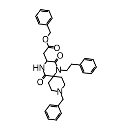 O=C(CC1NC(=O)C2(CCN(Cc3ccccc3)CC2)N(CCc2ccccc2)C1=O)OCc1ccccc1